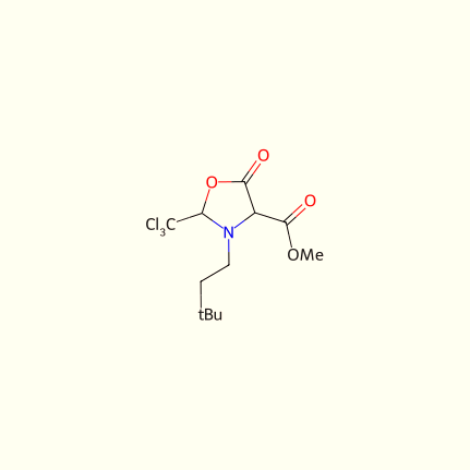 COC(=O)C1C(=O)OC(C(Cl)(Cl)Cl)N1CCC(C)(C)C